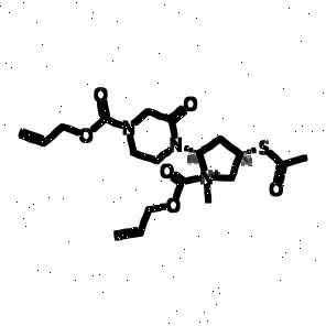 C=CCOC(=O)N1CCN([C@@H]2C[C@H](SC(C)=O)C[N+]2(C)C(=O)OCC=C)C(=O)C1